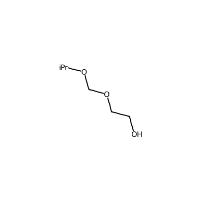 CC(C)OCOCCO